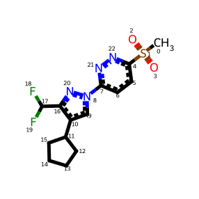 CS(=O)(=O)c1ccc(-n2[c]c(C3CCCC3)c(C(F)F)n2)nn1